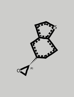 c1cc2cc([C@@H]3CO3)ccc2s1